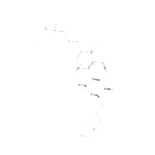 CC(C)(CO)CCCC1=CC(=O)C=C(/C=C\C2=CC(=O)C=C(CCCC(C)(C)CO)C2=O)C1=O